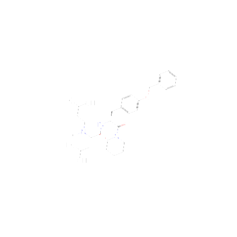 CC(C)CCN(C)[C@@H](CC(C)C)C(=O)N[C@@H](Cc1ccc(OCc2ccccc2)cc1)C(=O)N1CCCCC1